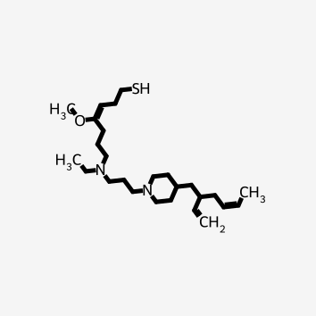 C=CC(C/C=C\C)CC1CCN(CCCN(CC)CCC/C(=C\CCS)OC)CC1